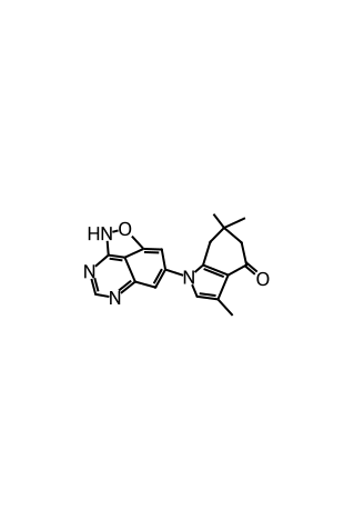 Cc1cn(-c2cc3c4c(ncnc4c2)NO3)c2c1C(=O)CC(C)(C)C2